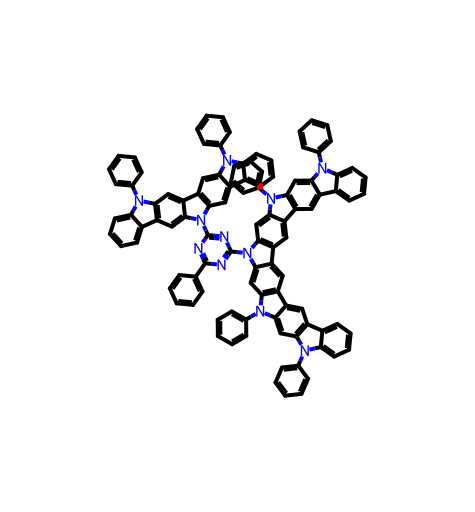 c1ccc(-c2nc(-n3c4cc5c6ccccc6n(-c6ccccc6)c5cc4c4cc5c(cc43)c3ccccc3n5-c3ccccc3)nc(-n3c4cc5c(cc4c4cc6c7cc8c9ccccc9n(-c9ccccc9)c8cc7n(-c7ccccc7)c6cc43)c3cc4c6ccccc6n(-c6ccccc6)c4cc3n5-c3ccccc3)n2)cc1